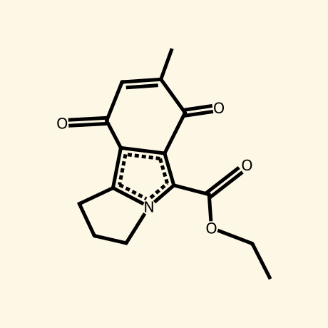 CCOC(=O)c1c2c(c3n1CCC3)C(=O)C=C(C)C2=O